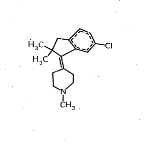 CN1CCC(=C2c3cc(Cl)ccc3CC2(C)C)CC1